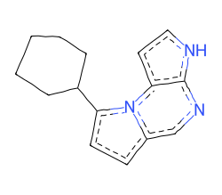 c1cc2c(ncc3ccc(C4CCCCC4)n32)[nH]1